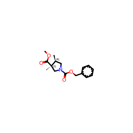 COC(=O)[C@]1(C)CN(C(=O)OCc2ccccc2)C[C@@H]1C